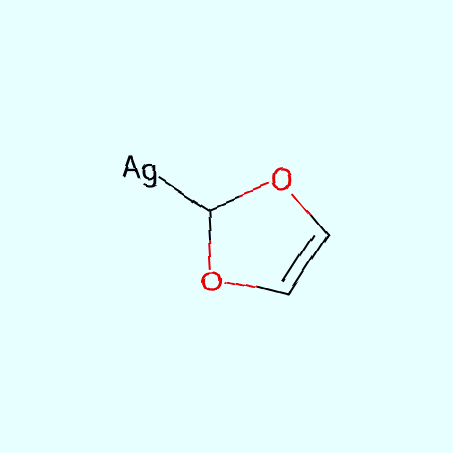 [Ag][CH]1OC=CO1